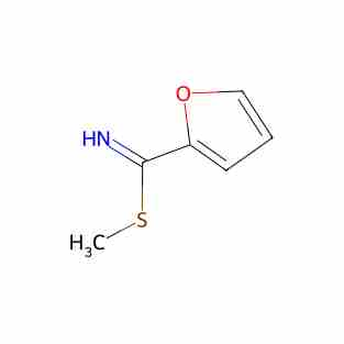 CSC(=N)c1ccco1